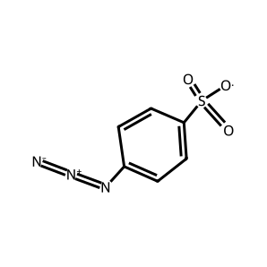 [N-]=[N+]=Nc1ccc(S([O])(=O)=O)cc1